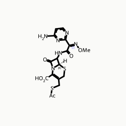 CO/N=C(\C(=O)NC1C(=O)N2C(C(=O)O)=C(CSC(C)=O)CS[C@H]12)c1nccc(N)n1